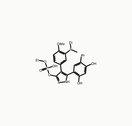 CCOP(=O)(O)Oc1n[nH]c(-c2cc(C(C)C)c(O)cc2O)c1-c1ccc(OC)c(N(C)CC)c1